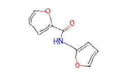 O=C(Nc1ccco1)c1ccco1